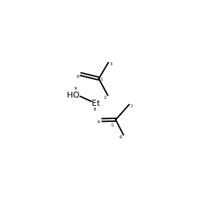 C=C(C)C.C=C(C)C.CCO